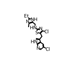 CCc1nc(C)c(CNc2nc(Cl)c(Cc3c[nH]c4ncc(Cl)cc34)s2)[nH]1